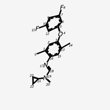 Cc1cc(Oc2cc(F)cc(F)c2)c(C)cc1/N=C/N(C)C1CC1